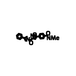 CNC(=O)c1ccc(-c2cc(C(=O)N3CC(c4ccccc4)C3)no2)cc1